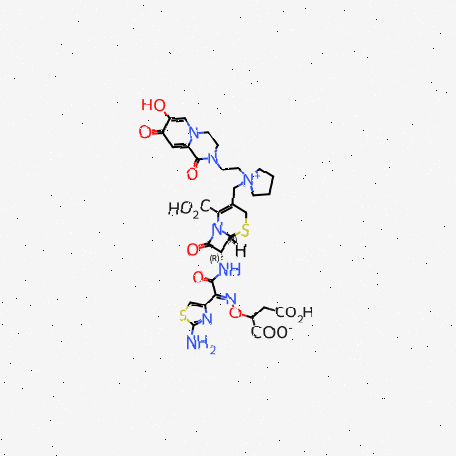 Nc1nc(C(=NOC(CC(=O)O)C(=O)[O-])C(=O)N[C@@H]2C(=O)N3C(C(=O)O)=C(C[N+]4(CCN5CCn6cc(O)c(=O)cc6C5=O)CCCC4)CS[C@H]23)cs1